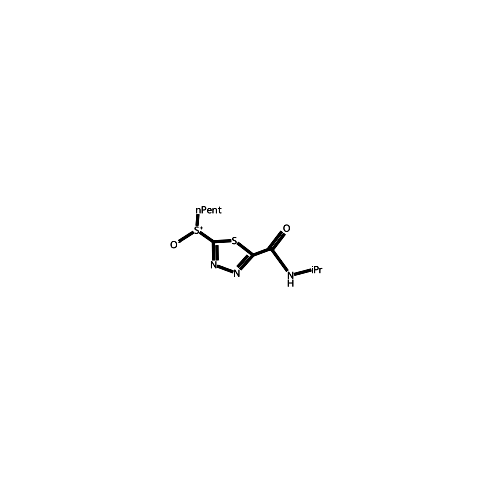 CCCCC[S+]([O-])c1nnc(C(=O)NC(C)C)s1